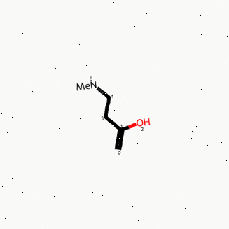 C=C(O)CCNC